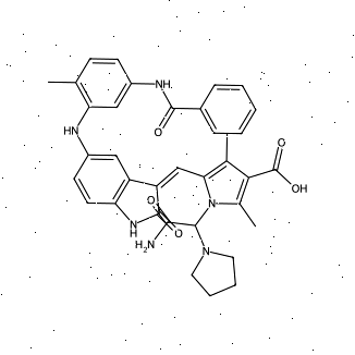 Cc1ccc(NC(=O)c2ccccc2)cc1Nc1ccc2c(c1)C(=Cc1c(C)c(C(=O)O)c(C)n1C(C(N)=O)N1CCCC1)C(=O)N2